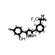 Oc1cc(I)ccc1-c1cc(-c2cccc(C3(C(F)(F)F)N=N3)c2)[nH]n1